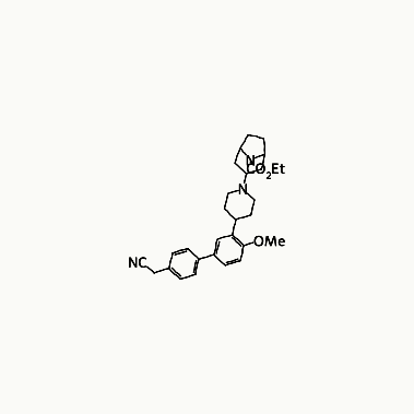 CCOC(=O)N1C2CCC1CC(N1CCC(c3cc(-c4ccc(CC#N)cc4)ccc3OC)CC1)C2